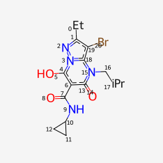 CCc1nn2c(O)c(C(=O)NC3CC3)c(=O)n(CC(C)C)c2c1Br